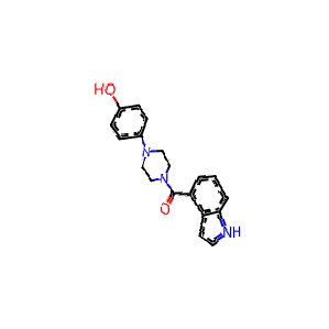 O=C(c1cccc2[nH]ccc12)N1CCN(c2ccc(O)cc2)CC1